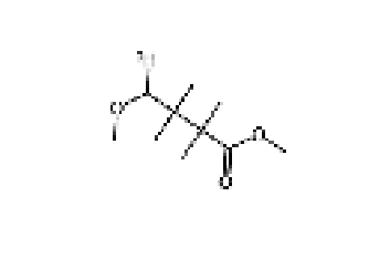 [2H]C(OC)C(C)(C)C(C)(C)C(=O)OC